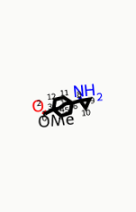 COC(=O)C12CCC(C3(N)CC3)(CC1)CC2